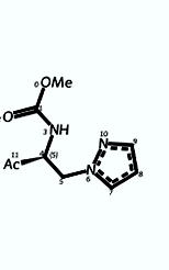 COC(=O)N[C@@H](Cn1cccn1)C(C)=O